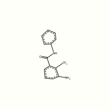 Nc1cccc(C(=O)Nc2ccccc2)c1C(F)(F)F